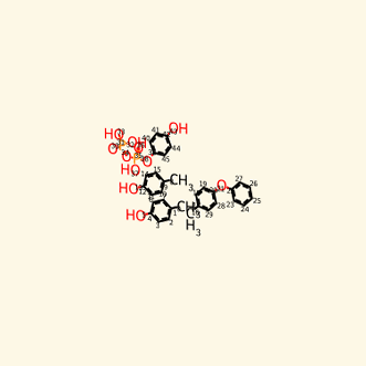 Cc1ccc(O)cc1.Cc1ccc(O)cc1.Cc1ccc(Oc2ccccc2)cc1.O=P(O)(O)OP(=O)(O)Oc1ccc(O)cc1